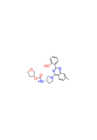 Cc1ccc2c(N3CC[C@H](NC(=O)OC4CCOC4)C3)nc(-c3ccccc3O)nc2c1